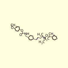 CC/C(OC(C)(C)c1ccccc1)=C(/C)C/C=C/c1ccc(CNC(=O)Oc2ccc(OC)cc2)cc1